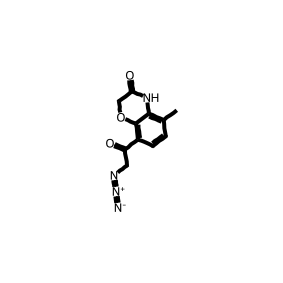 Cc1ccc(C(=O)CN=[N+]=[N-])c2c1NC(=O)CO2